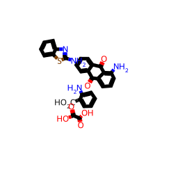 Nc1cccc2c1C(=O)c1ccccc1C2=O.Nc1ccccc1C(=O)O.Nc1nc2ccccc2s1.O=C(O)C(=O)O